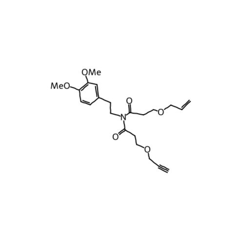 C#CCOCCC(=O)N(CCc1ccc(OC)c(OC)c1)C(=O)CCOCC=C